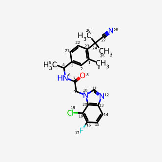 Cc1cc(C(C)NC(=O)Cn2cnc3ccc(F)c(Cl)c32)ccc1C(C)(C)C#N